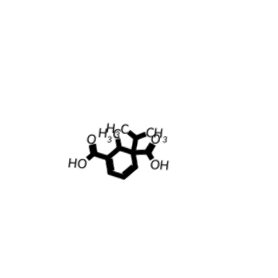 CC(C)C1(C(=O)O)C=CC=C(C(=O)O)C1C